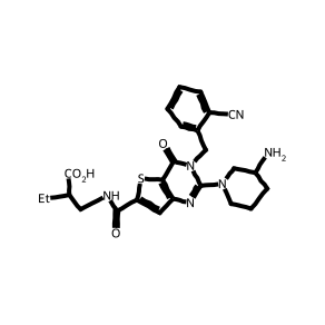 CCC(CNC(=O)c1cc2nc(N3CCCC(N)C3)n(Cc3ccccc3C#N)c(=O)c2s1)C(=O)O